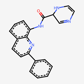 O=C(Nc1cccc2ccc(-c3ccccc3)nc12)C1C=NC=CN1